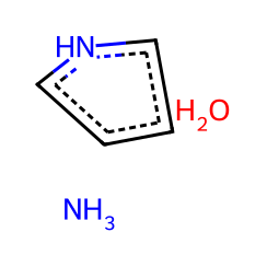 N.O.c1cc[nH]c1